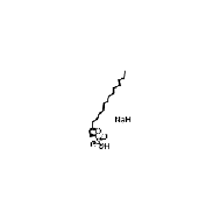 CCCCCCCCCCCCCc1ccc(S(=O)(=O)O)o1.[NaH]